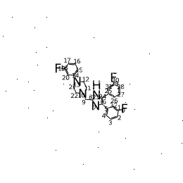 Fc1cccc(-c2nc(CN3CCN(c4cccc(F)c4)CC3)[nH]c2-c2cccc(F)c2)c1